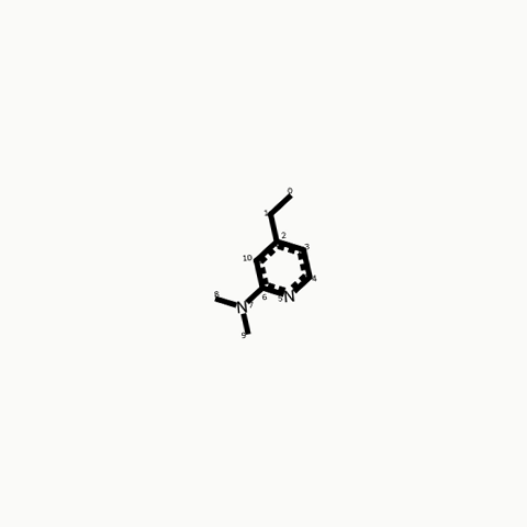 CCc1ccnc(N(C)C)c1